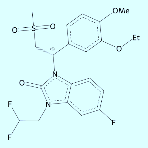 CCOc1cc([C@@H](CS(C)(=O)=O)n2c(=O)n(CC(F)F)c3cc(F)ccc32)ccc1OC